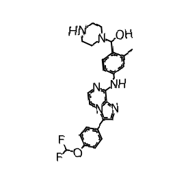 Cc1cc(Nc2nccn3c(-c4ccc(OC(F)F)cc4)cnc23)ccc1C(O)N1CCNCC1